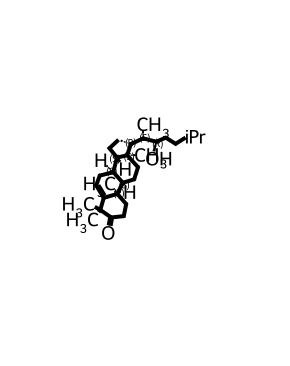 CC(C)CC[C@@H](O)[C@@H](C)[C@H]1CC[C@H]2[C@@H]3CC=C4C(C)(C)C(=O)CC[C@]4(C)[C@H]3CC[C@]12C